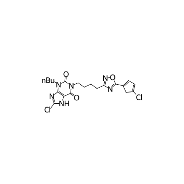 CCCCn1c(=O)n(CCCCc2noc(C3=CC=C(Cl)C3)n2)c(=O)c2[nH]c(Cl)nc21